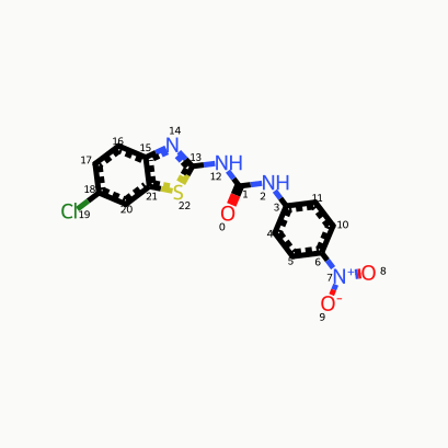 O=C(Nc1ccc([N+](=O)[O-])cc1)Nc1nc2ccc(Cl)cc2s1